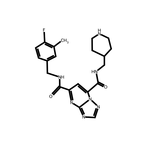 Cc1cc(CNC(=O)c2cc(C(=O)NCC3CCNCC3)n3ncnc3n2)ccc1F